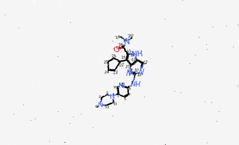 CN1CCN(c2ccc(Nc3ncc4[nH]c(C(=O)N(C)C)c(C5CCCC5)c4n3)nc2)CC1